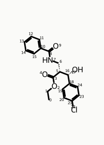 CCOC(=O)[C@H](CNC(=O)c1ccccc1)[C@H](O)c1ccc(Cl)cc1